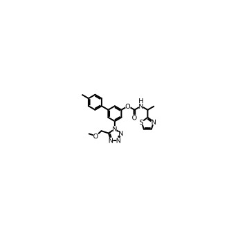 COCc1nnnn1-c1cc(OC(=O)NC(C)c2nccs2)cc(-c2ccc(C)cc2)c1